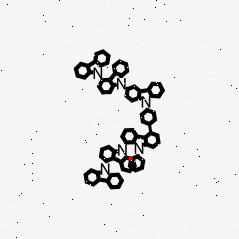 c1ccc(-n2c3cccc(-c4ccc(-n5c6ccccc6c6cc(-n7c8ccccc8c8c(-n9c%10ccccc%10c%10ccccc%109)cccc87)ccc65)cc4)c3c3cccc(-n4c5ccccc5c5c(-n6c7ccccc7c7ccccc76)cccc54)c32)cc1